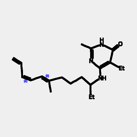 C=C/C=C\C=C(/C)CCCC(CC)Nc1nc(C)[nH]c(=O)c1CC